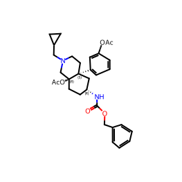 CC(=O)Oc1cccc([C@@]23CCN(CC4CC4)C[C@@]2(OC(C)=O)CC[C@@H](NC(=O)OCc2ccccc2)C3)c1